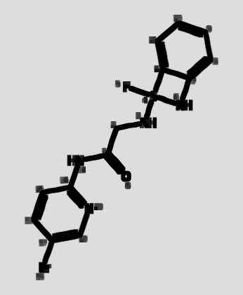 O=C(CNS1(F)Nc2ccccc21)Nc1ccc(Br)cn1